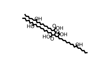 CCCCCCC(O)CCCCCCCCCC(CC(CC(CCCCCCCCCC(O)CCCCCC)C(=O)O)C(CCCCCCCCCC(O)CCCCCC)C(=O)O)C(=O)O